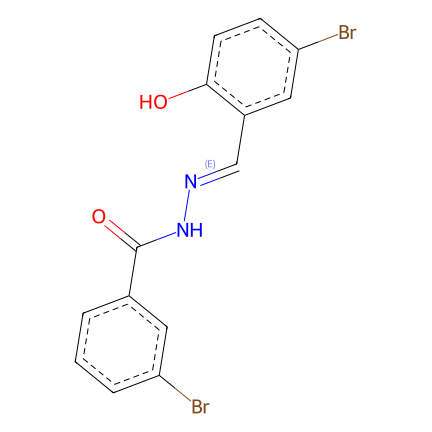 O=C(N/N=C/c1cc(Br)ccc1O)c1cccc(Br)c1